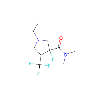 CC(C)N1CC(C(F)(F)F)C(F)(C(=O)N(C)C)C1